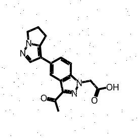 CC(=O)c1nn(CC(=O)O)c2ccc(-c3cnn4c3CCC4)cc12